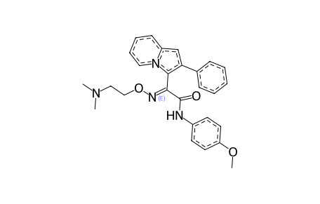 COc1ccc(NC(=O)/C(=N/OCCN(C)C)c2c(-c3ccccc3)cc3ccccn23)cc1